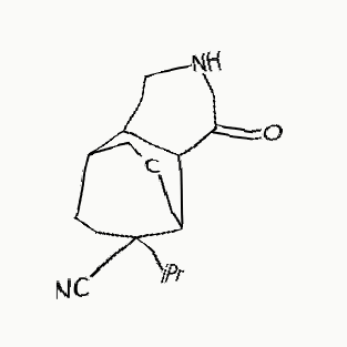 CC(C)C1(C#N)CC2CCC1C1C(=O)NCC21